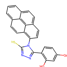 Oc1ccc(-c2nnc(S)n2-c2ccc3ccc4cccc5ccc2c3c45)c(O)c1